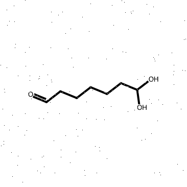 O=CCCCCCC(O)O